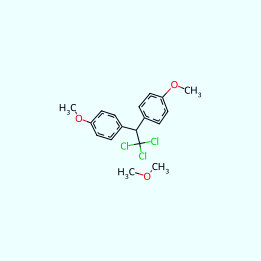 COC.COc1ccc(C(c2ccc(OC)cc2)C(Cl)(Cl)Cl)cc1